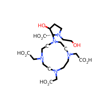 O=C(O)CN1CCN(CC(=O)O)CCN([C@@]2(C(=O)O)C(O)CCN2CCO)CCN(CC(=O)O)CC1